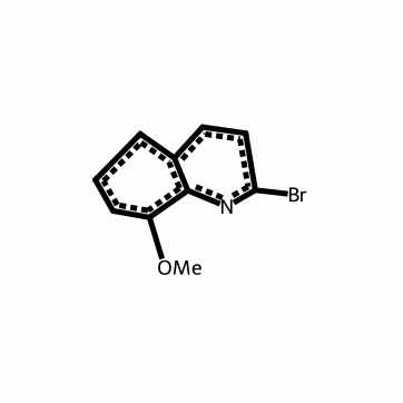 COc1cccc2ccc(Br)nc12